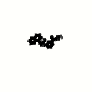 CNC(=O)c1cccc(NC(=O)Cc2cccc3ccccc23)c1